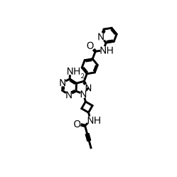 CC#CC(=O)NC1CC(n2nc(-c3ccc(C(=O)Nc4ccccn4)cc3)c3c(N)ncnc32)C1